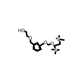 C[Si](C)(C)CC(OCOc1cccc(COCCO)c1)[Si](C)(C)C